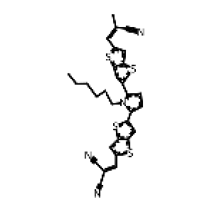 CCCCCCn1c(-c2cc3sc(C=C(C#N)C#N)cc3s2)ccc1-c1cc2sc(/C=C(/C)C#N)cc2s1